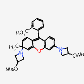 COC1CN(c2ccc3c(c2)OC2=CC(C)(N4CC(OC)C4)C=CC2=C3c2ccccc2C(=O)O)C1